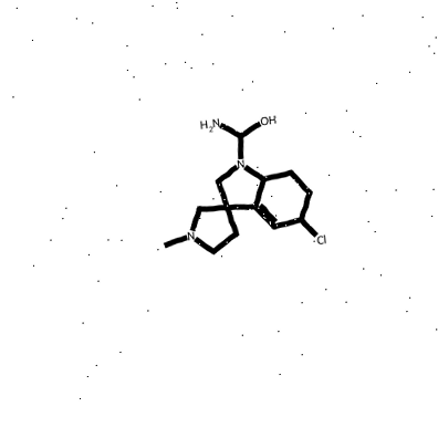 CN1CCC2(C1)CN(C(N)O)C1CCC(Cl)C=C12